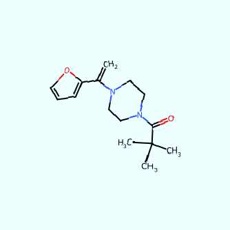 C=C(c1ccco1)N1CCN(C(=O)C(C)(C)C)CC1